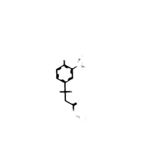 COC(=O)CC(C)(C)c1ccc(F)c([N+](=O)[O-])c1